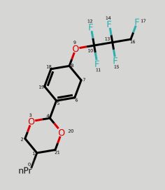 CCCC1COC(C2=CCC(OC(F)(F)C(F)(F)CF)C=C2)OC1